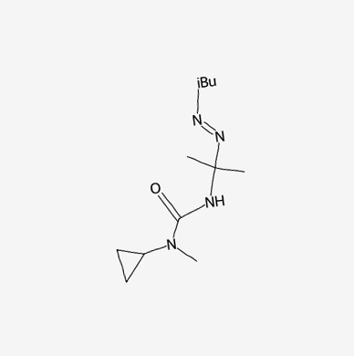 CCC(C)N=NC(C)(C)NC(=O)N(C)C1CC1